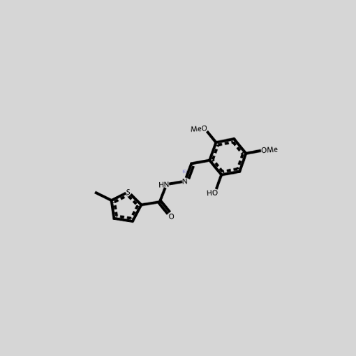 COc1cc(O)c(/C=N/NC(=O)c2ccc(C)s2)c(OC)c1